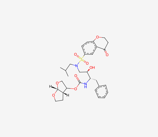 CC(C)CN(C[C@@H](O)[C@H](Cc1ccccc1)NC(=O)OC1CO[C@H]2OCC[C@@H]12)S(=O)(=O)c1ccc2c(c1)C(=O)CCO2